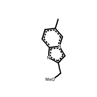 COCc1cn2cc(C)ccc2n1